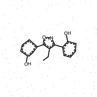 CCc1c(-c2ccccc2O)noc1-c1cccc(O)c1